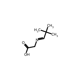 CC(C)(C)C=NCC(=O)O